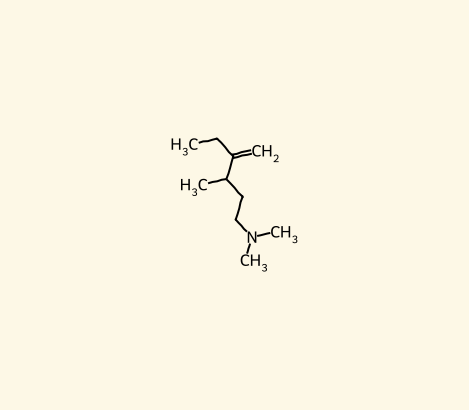 C=C(CC)C(C)CCN(C)C